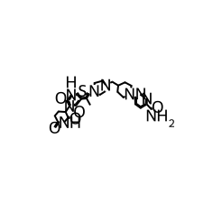 Cc1c(N2CCN(CC3CCN(c4ccc(C(N)=O)nn4)CC3)CC2)sc2[nH]c(=O)n(C3CCC(=O)NC3=O)c(=O)c12